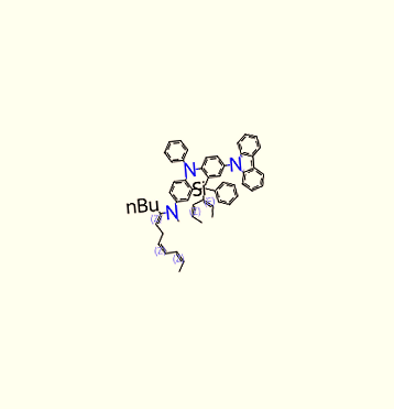 C/C=C\C=C/C/C=C(/CCCC)N(C)c1ccc2c(c1)[Si](C(/C=C\C)=C/C)(c1ccccc1)c1cc(-n3c4ccccc4c4ccccc43)ccc1N2c1ccccc1